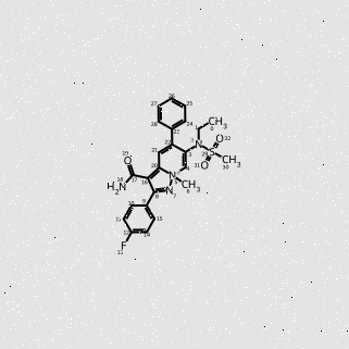 CCN(C1=C[N+]2(C)N=C(c3ccc(F)cc3)C(C(N)=O)=C2C=C1c1ccccc1)S(C)(=O)=O